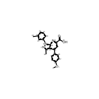 COc1ccc(-c2cc(C(=O)O)nc3c2c(C)nn3-c2cccc(C)c2)cc1